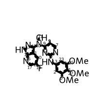 COc1cc(Nc2nccc(N(C)c3n[nH]c4ncc(F)cc34)n2)cc(OC)c1OC